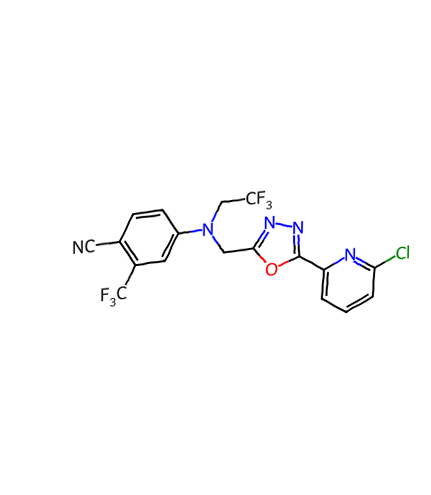 N#Cc1ccc(N(Cc2nnc(-c3cccc(Cl)n3)o2)CC(F)(F)F)cc1C(F)(F)F